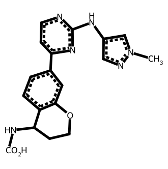 Cn1cc(Nc2nccc(-c3ccc4c(c3)OCCC4NC(=O)O)n2)cn1